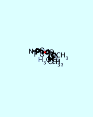 CCCC(OC(=O)C(C)C(C)(C)C)Oc1ccc(C(=O)Oc2ccc(C#N)c(F)c2)cc1